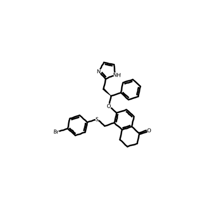 O=C1CCCc2c1ccc(O[C@@H](Cc1ncc[nH]1)c1ccccc1)c2CSc1ccc(Br)cc1